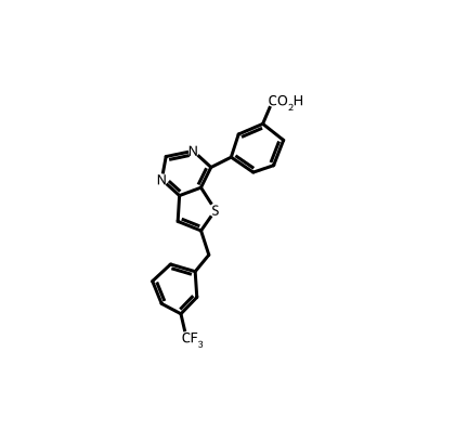 O=C(O)c1cccc(-c2ncnc3cc(Cc4cccc(C(F)(F)F)c4)sc23)c1